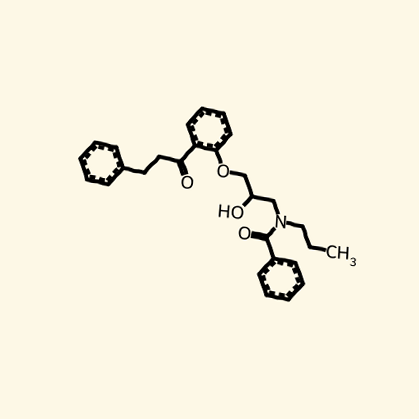 CCCN(CC(O)COc1ccccc1C(=O)CCc1ccccc1)C(=O)c1ccccc1